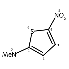 CNc1ccc([N+](=O)[O-])s1